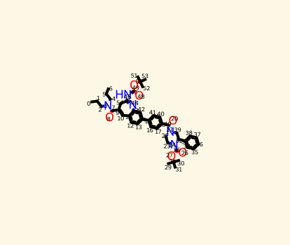 CCCN(CCC)C(=O)C1=Cc2ccc(-c3ccc(C(=O)N4CCN(C(=O)OC(C)(C)C)C(c5ccccc5)C4)cc3)cc2N=C(NC(=O)OC(C)(C)C)C1